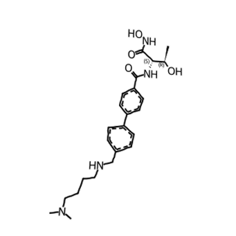 C[C@@H](O)[C@H](NC(=O)c1ccc(-c2ccc(CNCCCCN(C)C)cc2)cc1)C(=O)NO